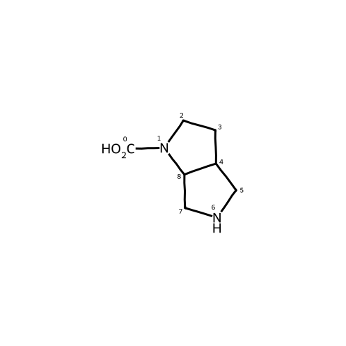 O=C(O)N1CCC2CNCC21